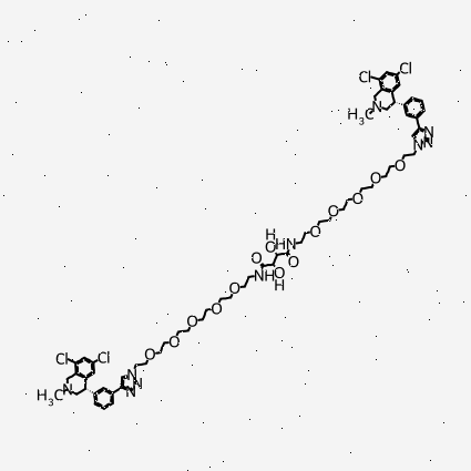 CN1Cc2c(Cl)cc(Cl)cc2[C@H](c2cccc(-c3cn(CCOCCOCCOCCOCCOCCNC(=O)[C@H](O)[C@@H](O)C(=O)NCCOCCOCCOCCOCCOCCn4cc(-c5cccc([C@@H]6CN(C)Cc7c(Cl)cc(Cl)cc76)c5)nn4)nn3)c2)C1